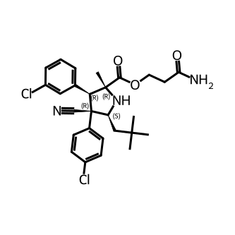 CC(C)(C)C[C@@H]1N[C@@](C)(C(=O)OCCC(N)=O)[C@H](c2cccc(Cl)c2)[C@@]1(C#N)c1ccc(Cl)cc1